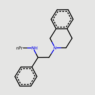 CCCNC(CN1CCc2ccccc2C1)c1ccccc1